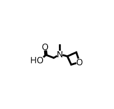 CN(CC(=O)O)C1COC1